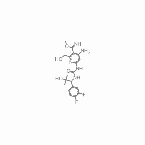 COC(=N)c1c(N)cc(NC(=O)N[C@@H](c2ccc(F)c(F)c2)C(C)(C)O)nc1CO